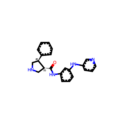 O=C(Nc1cccc(Nc2cccnc2)c1)[C@@H]1CNC[C@H]1c1ccccc1